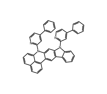 c1ccc(-c2ccnc(N3c4cc5c(cc4-c4cccc6cccc3c46)c3ccccc3n5-c3cc(-c4ccccc4)ccn3)c2)cc1